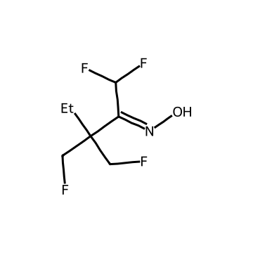 CCC(CF)(CF)C(=NO)C(F)F